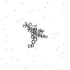 CCOc1ccc2c(O[C@@H]3C[C@@H](C(=O)NC(CC4CC4)C(=O)C(=O)NC4CC4)N(C(=O)C(NC(=O)NC(C)(C)C)C(C)(C)C)C3)nccc2c1